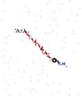 COCCOCCOCCOCCOCCOCCOCCOCCOc1ccc(CCN)cc1